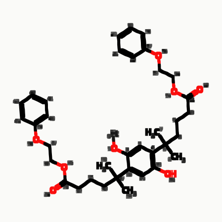 CCOc1cc(C(C)(C)CCCC(=O)OCCOc2ccccc2)c(O)cc1C(C)(C)CCCC(=O)OCCOc1ccccc1